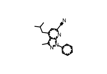 C[C](C)Cc1cc(C#N)nc2c1c(C)nn2-c1ccccc1